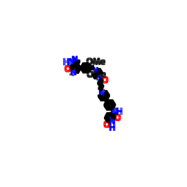 COc1cc(-c2cn(C)c(=O)c3[nH]ncc23)cc(OC)c1CN1CCN(C(=O)CCCN2CCC(c3ccc(NC4CCC(=O)NC4=O)cc3)CC2)CC1